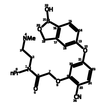 CCCN(CCNC)C(=O)COc1cc(Oc2ccc3c(c2)COB3O)ccc1C#N